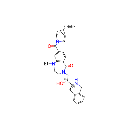 CCN1CCN(C[C@@H](O)[C@@H]2Cc3ccccc3CN2)C(=O)c2ccc(C(=O)N3C=C4CC3CC4OC)cc21